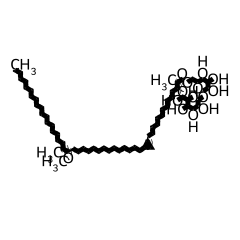 CCCCCCCCCCCCCCCCCCC[C@H](C)[C@@H](CCCCCCCCCCCCCCC1C[C@H]1CCCCCCCCCCC[C@@H](O)[C@@H](C)C(=O)OCC1OC(OC2OC(CO)C(O)C(O)C2O)C(O)C(O)C1O)OC